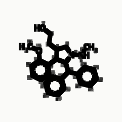 CNN1CC(CCO)C(c2ccccc2OC)C1C(c1ccccc1)c1ccccc1